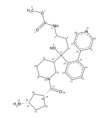 COC(=O)NCCCC(O)(c1ccccc1-c1ccncc1)C1CCCN(C(=O)[C@@H]2CC[C@H](N)C2)C1